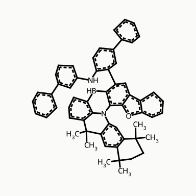 CC1(C)CCC(C)(C)c2cc3c(cc21)N1c2c(cccc2C3(C)C)Bc2c(-c3cc(-c4ccccc4)ccc3Nc3cccc(-c4ccccc4)c3)cc3c(oc4ccccc43)c21